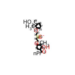 CCCC(=O)c1ccc(OCC[S+]([O-])CCOc2cccc(C(=O)O)c2C)c(C)c1O